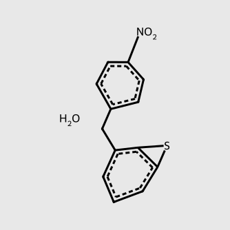 O.O=[N+]([O-])c1ccc(Cc2cccc3c2S3)cc1